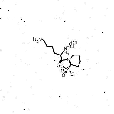 Cl.Cl.NCCCCC(N)C(=O)N1CCCCC1P(=O)(O)O